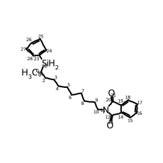 C[C@@H](CCCCCCCCCN1C(=O)c2ccccc2C1=O)[SiH2]c1ccccc1